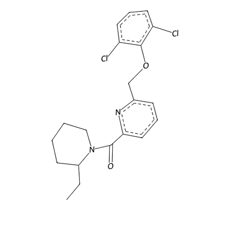 CCC1CCCCN1C(=O)c1cccc(COc2c(Cl)cccc2Cl)n1